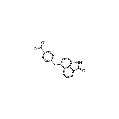 O=C1Nc2ccc(Cc3ccc([N+](=O)[O-])cc3)c3cccc1c23